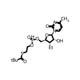 CC[C@H]1[C@@H](O)[C@H](n2ccc(C)nc2=O)O[C@@H]1CO[PH](=O)OCCSC(=O)C(C)(C)C